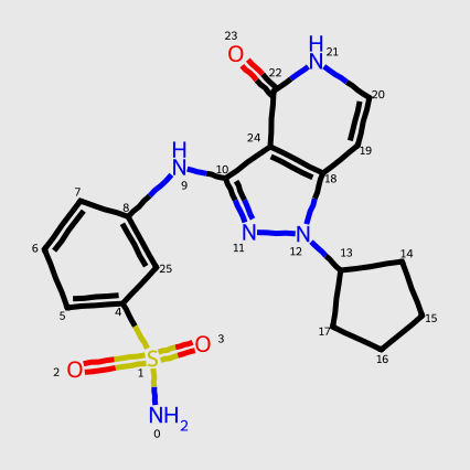 NS(=O)(=O)c1cccc(Nc2nn(C3CCCC3)c3cc[nH]c(=O)c23)c1